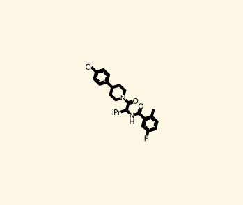 Cc1ccc(F)cc1C(=O)NC(C(=O)N1CCC(c2ccc(Cl)cc2)CC1)C(C)C